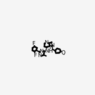 COc1ccc(Cn2ncc3nccc(Nc4nc(-c5cc(F)ccc5F)ncc4C)c32)cc1